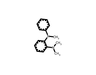 CN(C)c1ccccc1N(C)c1ccccc1